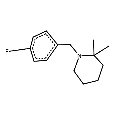 CC1(C)CCCCN1Cc1ccc(F)cc1